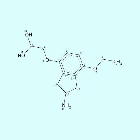 CCOc1ccc(OCC(O)O)c2c1CC(N)C2